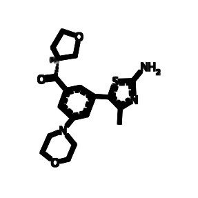 Cc1nc(N)sc1-c1cc(C(=O)[C@@H]2CCOC2)cc(N2CCOCC2)c1